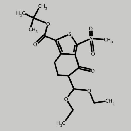 CCOC(OCC)C1CCc2c(C(=O)OC(C)(C)C)sc(S(C)(=O)=O)c2C1=O